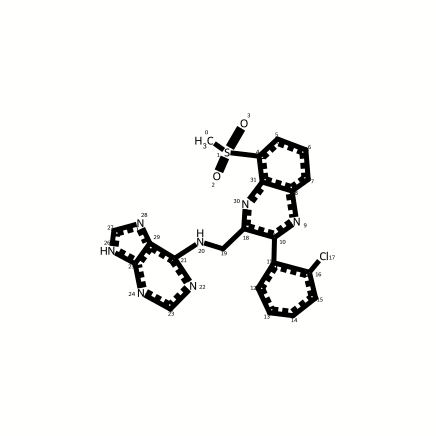 CS(=O)(=O)c1cccc2nc(-c3ccccc3Cl)c(CNc3ncnc4[nH]cnc34)nc12